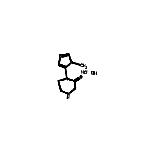 Cl.Cl.Cn1cncc1N1CCNCC1=O